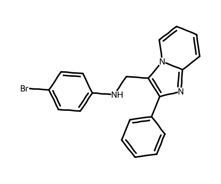 Brc1ccc(NCc2c(-c3ccccc3)nc3ccccn23)cc1